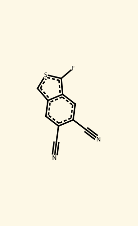 N#Cc1cc2csc(F)c2cc1C#N